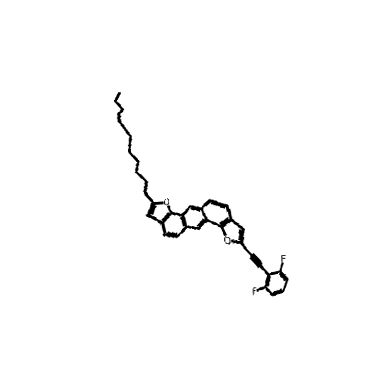 CCCCCCCCCCc1cc2ccc3cc4c(ccc5cc(C#Cc6c(F)cccc6F)oc54)cc3c2o1